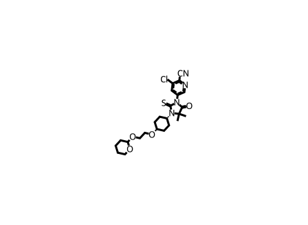 CC1(C)C(=O)N(c2cnc(C#N)c(Cl)c2)C(=S)N1[C@H]1CC[C@H](OCCOC2CCCCO2)CC1